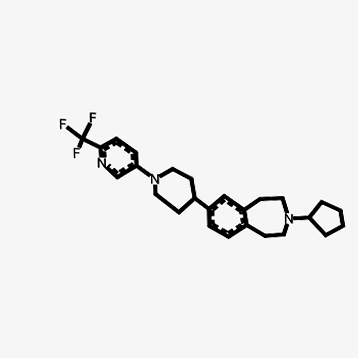 FC(F)(F)c1ccc(N2CCC(c3ccc4c(c3)CCN(C3CCCC3)CC4)CC2)cn1